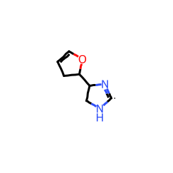 [C]1=NC(C2CC=CO2)CN1